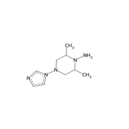 CC1CN(n2ccnc2)CC(C)N1N